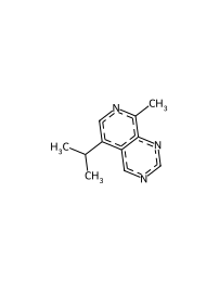 Cc1ncc(C(C)C)c2cncnc12